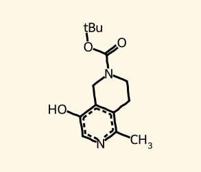 Cc1ncc(O)c2c1CCN(C(=O)OC(C)(C)C)C2